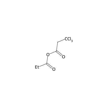 CCC(=O)OC(=O)CC(Cl)(Cl)Cl